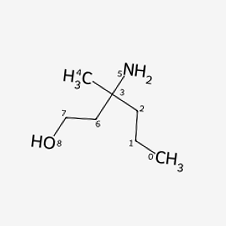 CCCC(C)(N)CCO